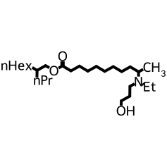 CCCCCCC(CCC)COC(=O)CCCCCCCCC(C)N(CC)CCCO